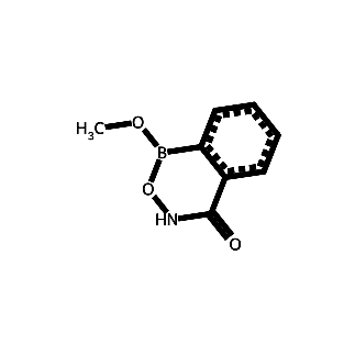 COB1ONC(=O)c2ccccc21